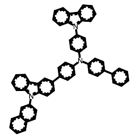 c1ccc(-c2ccc(N(c3ccc(-c4ccc5c(c4)c4ccccc4n5-c4ccc5ccccc5c4)cc3)c3ccc(-n4c5ccccc5c5ccccc54)cc3)cc2)cc1